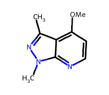 COc1ccnc2c1c(C)nn2C